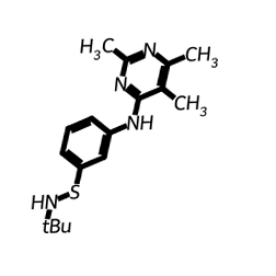 Cc1nc(C)c(C)c(Nc2cccc(SNC(C)(C)C)c2)n1